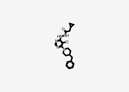 O=C(CC1CC1)NNc1ncnc(N2CCC(Cc3ccccc3)CC2)c1Cl